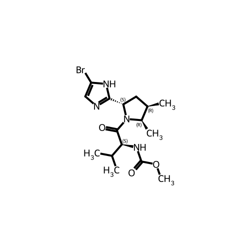 COC(=O)N[C@H](C(=O)N1[C@H](C)[C@H](C)C[C@H]1c1ncc(Br)[nH]1)C(C)C